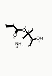 C=CC(=O)OC(C)(C)C(C)O.N